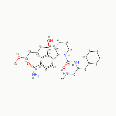 CNCC(CC1CCCCC1)NC(=O)N1CCC[C@@H]([C@@](O)(CCCCOC)c2cccc(C(N)=O)c2)C1